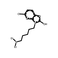 CCN(CC)CCCCCn1c(O)nc2ccc(Cl)nc21